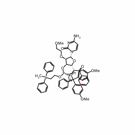 COCCO[C@@H]1[C@H](OP(OCC[Si](C)(c2ccccc2)c2ccccc2)N(C(C)C)C(C)C)[C@@H](C(OC(c2ccccc2)(c2ccc(OC)cc2)c2ccc(OC)cc2)C(=O)c2ccccc2)O[C@H]1n1ccc(N)nc1=O